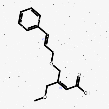 COC/C(=C/C(=O)O)COC/C=C/c1ccccc1